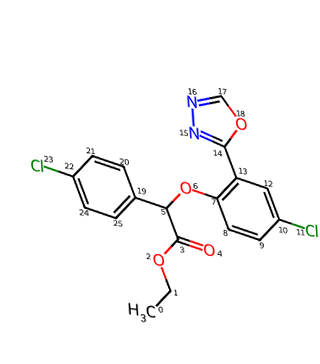 CCOC(=O)C(Oc1ccc(Cl)cc1-c1nnco1)c1ccc(Cl)cc1